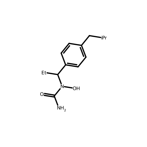 CCC(c1ccc(CC(C)C)cc1)N(O)C(N)=O